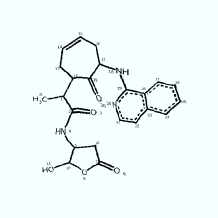 CC(C(=O)NC1CC(=O)OC1O)C1CC=CCC(Nc2nccc3ccccc23)C1=O